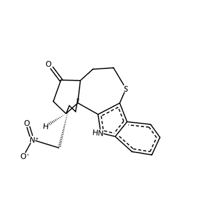 O=C1C[C@H]2[C@H](C[N+](=O)[O-])CC[C@]23c2[nH]c4ccccc4c2SCCC13